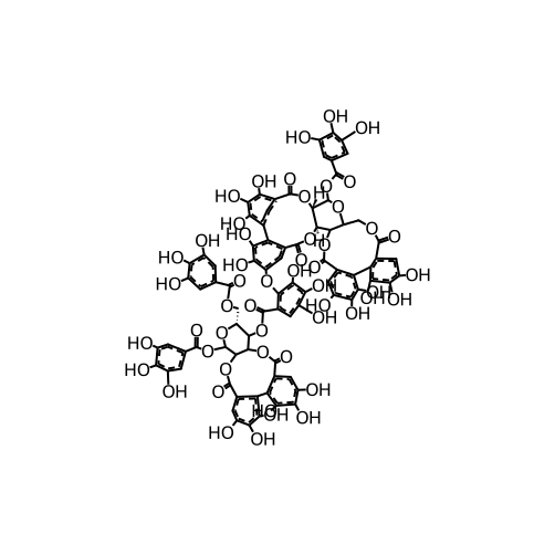 O=C(OC[C@H]1OC(OC(=O)c2cc(O)c(O)c(O)c2)C2OC(=O)c3cc(O)c(O)c(O)c3-c3c(cc(O)c(O)c3O)C(=O)OC2C1OC(=O)c1cc(O)c(O)c(O)c1Oc1cc2c(c(O)c1O)-c1cc(c(O)c(O)c1O)C(=O)O[C@@H]1C(OC(=O)c3cc(O)c(O)c(O)c3)OC3COC(=O)c4cc(O)c(O)c(O)c4-c4c(cc(O)c(O)c4O)C(=O)OC3[C@H]1OC2=O)c1cc(O)c(O)c(O)c1